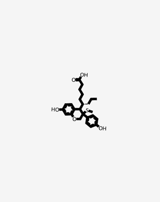 CCC[C@@H](CCCCC(=O)O)C1c2ccc(O)cc2OCC1(SC)c1ccc(O)cc1